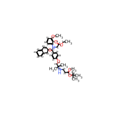 CCOC(=O)CN(C(=O)c1ccc(OCC(C)(C)NCCC(=O)OC(C)(C)C)cc1)c1cc(OC)ccc1[C@@H]1CCc2c[c]ccc2C1